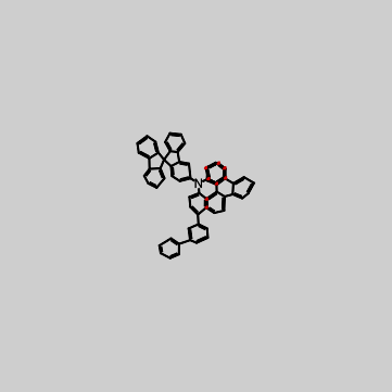 c1ccc(-c2cccc(-c3ccc(N(c4ccc5c(c4)-c4ccccc4C54c5ccccc5-c5ccccc54)c4ccccc4-c4ccccc4-c4ccccc4-c4ccccc4)cc3)c2)cc1